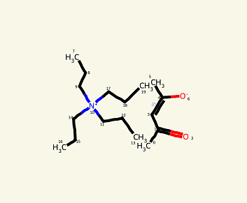 CC(=O)/C=C(/C)[O-].CCC[N+](CCC)(CCC)CCC